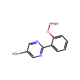 CCCCCCCCc1cnc(-c2ccccc2OCCCCCCC)nc1